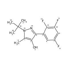 Cc1c(O)c(-c2cc(F)cc(F)c2F)nn1C(C)(C)C